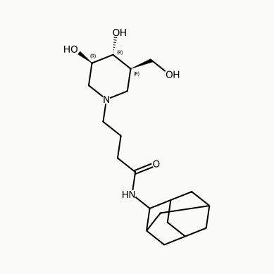 O=C(CCCN1C[C@H](CO)[C@@H](O)[C@H](O)C1)NC1C2CC3CC(C2)CC1C3